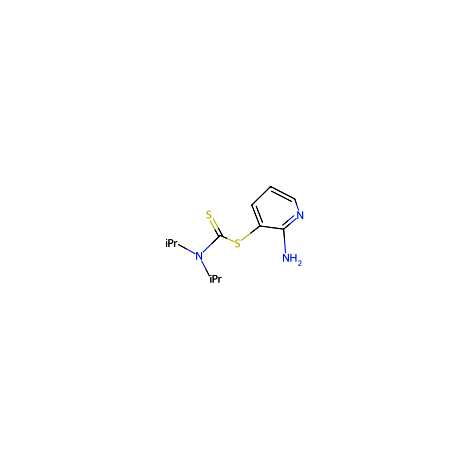 CC(C)N(C(=S)Sc1cccnc1N)C(C)C